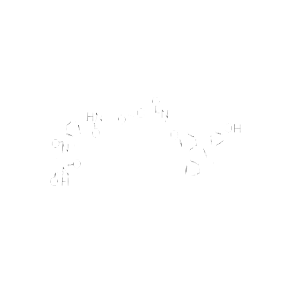 CC/C(=C(\c1ccc(O)cc1)c1ccc(OCCN(C)C(=O)COCCOCCNC(=O)Cc2ccc3c(c2)CN(C2CCC(=O)NC2=O)C3=O)cc1)c1ccccc1